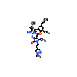 Cc1cc(/C=C/C#N)cc(C)c1Oc1nc(NC23CC(C#N)(C2)C3)nc2c1C(C)N(CCc1cnn(C)c1)C2=O